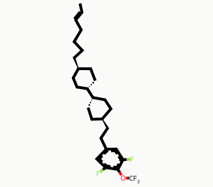 C/C=C/CCCC[C@H]1CC[C@H]([C@H]2CC[C@H](CCc3cc(F)c(OC(F)(F)F)c(F)c3)CC2)CC1